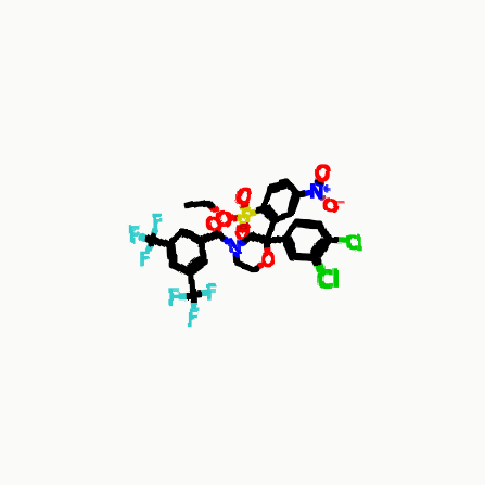 CCOS(=O)(=O)c1ccc([N+](=O)[O-])cc1C1(c2ccc(Cl)c(Cl)c2)CN(C(=O)c2cc(C(F)(F)F)cc(C(F)(F)F)c2)CCO1